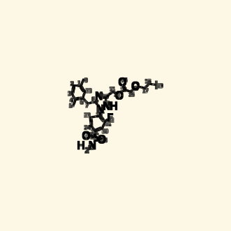 Cc1ccc(C)c(CC2=NC(COC(=O)COCCI)NN2c2ccc(S(N)(=O)=O)cc2F)c1